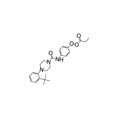 CCC(=O)OOc1ccc(NC(=O)N2CCN(c3ccccc3C(C)(C)C)CC2)cc1